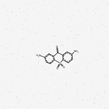 Nc1ccc2c(c1)C(=O)c1cc(N)ccc1S2(=O)=O